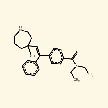 CCN(CC)C(=O)c1ccc(/C(=C/C2(O)CCCNCC2)c2ccccc2)cn1